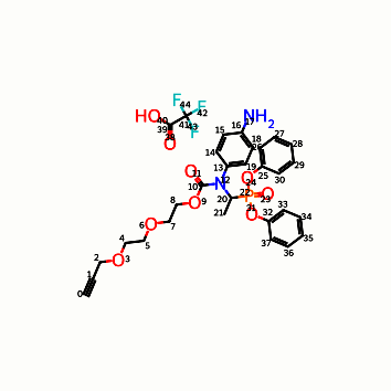 C#CCOCCOCCOC(=O)N(c1ccc(N)cc1)C(C)P(=O)(Oc1ccccc1)Oc1ccccc1.O=C(O)C(F)(F)F